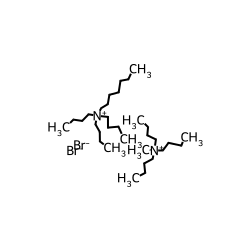 CCCCCCC[N+](CCCC)(CCCC)CCCC.CCCC[N+](C)(CCCC)CCCC.[Br-].[Br-]